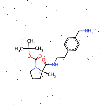 CC(C)(C)OC(=O)N1CCC[C@@]1(C)C(=O)NCCc1ccc(CN)cc1